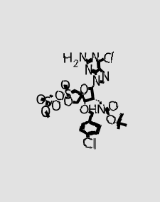 CC(C)(C)OC(=O)NC[C@H]1[C@H](n2cnc3c(Cl)nc(N)nc32)OC2(COS(=O)(=O)C2)[C@H]1OCc1ccc(Cl)cc1.COS(C)(=O)=O